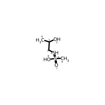 CC(O)C[SH]=S(C)(=O)O